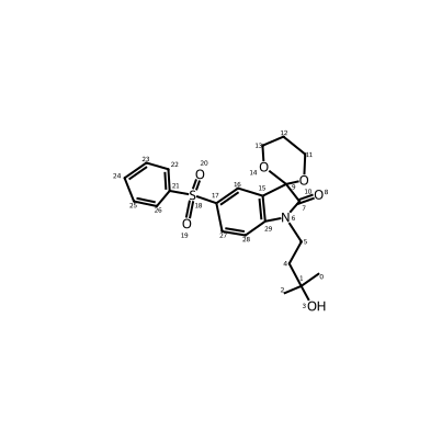 CC(C)(O)CCN1C(=O)C2(OCCCO2)c2cc(S(=O)(=O)c3ccccc3)ccc21